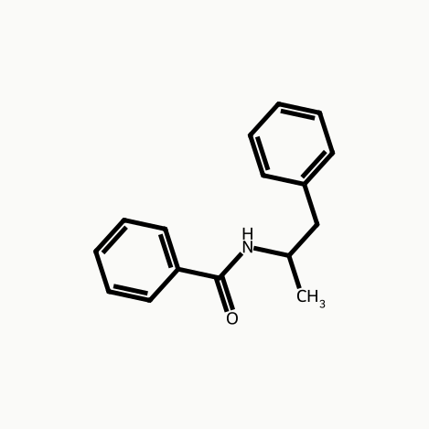 CC(Cc1ccccc1)NC(=O)c1ccccc1